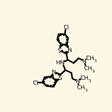 CN(C)CCC(NC(CCN(C)C)c1nc2cc(Cl)ccc2s1)c1nc2cc(Cl)ccc2s1